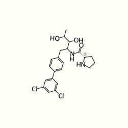 CC(O)C(O)C(Cc1ccc(-c2cc(Cl)cc(Cl)c2)cc1)NC(=O)[C@@H]1CCCN1